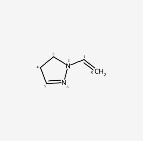 C=CN1CCC=N1